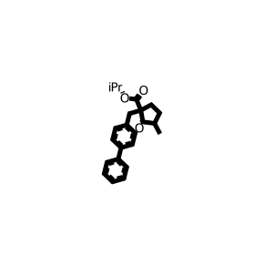 CC(C)OC(=O)C1(Cc2ccc(-c3ccccc3)cc2)CCC(C)C1=O